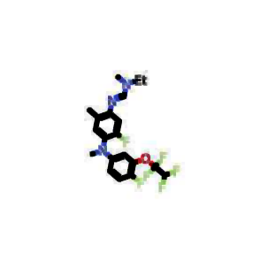 CCN(C)/C=N/c1cc(F)c(N(C)c2ccc(F)c(OC(F)(F)C(F)F)c2)cc1C